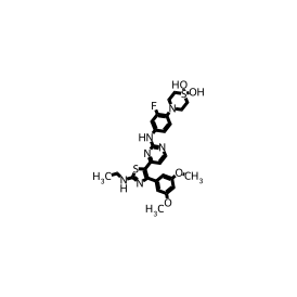 CCNc1nc(-c2cc(OC)cc(OC)c2)c(-c2ccnc(Nc3ccc(N4CCS(O)(O)CC4)c(F)c3)n2)s1